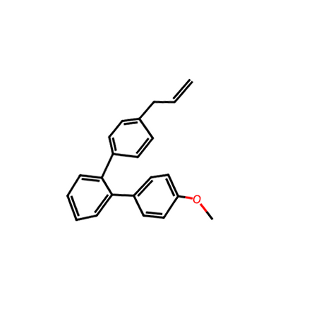 C=CCc1ccc(-c2ccccc2-c2ccc(OC)cc2)cc1